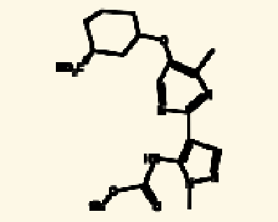 Cc1nc(-c2cnn(C)c2NC(=O)OC(C)(C)C)ncc1OC1CCC[C@H](C(=O)O)C1